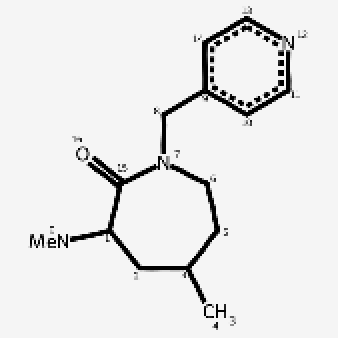 CNC1CC(C)CCN(Cc2ccncc2)C1=O